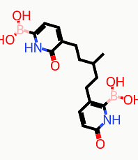 CC(CCc1ccc(=O)[nH]c1B(O)O)CCc1ccc(B(O)O)[nH]c1=O